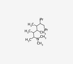 CC(C)CC(C(C)C)C(C)C(C)C(C)C(C)N(C)C